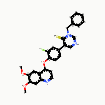 COc1cc2nccc(Oc3ccc(-c4cncn(Cc5ccccc5)c4=S)cc3F)c2cc1OC